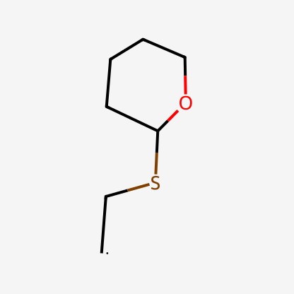 [CH2]CSC1CCCCO1